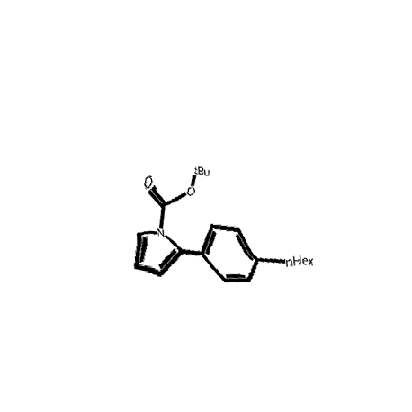 CCCCCCc1ccc(-c2cccn2C(=O)OC(C)(C)C)cc1